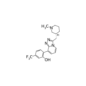 CN1CCC[C@H](Cc2nnc3c(-c4ccc(C(F)(F)F)cc4O)cccn23)C1